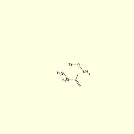 C=C(C)[SiH2][SiH3].CCO[SiH3]